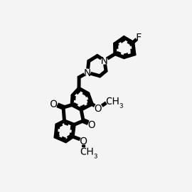 COc1cccc2c1C(=O)c1c(OC)cc(CN3CCN(c4ccc(F)cc4)CC3)cc1C2=O